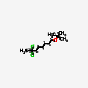 CC(C)(C)OCCCCCCC([SiH3])(Cl)Cl